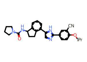 CC(C)Oc1ccc(-c2ncc(-c3cccc4c3CCC4NC(=O)N3CCCC3)[nH]2)cc1C#N